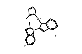 CC1=[C]([Zr+2][CH]2C(n3c(C)cc4ccccc43)=Cc3ccccc32)CC=C1.[F-].[F-]